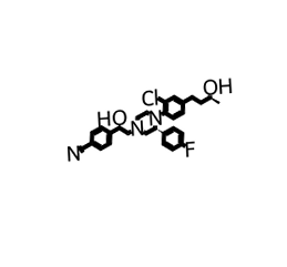 C[C@H](O)CCc1ccc(N2CCN(C[C@@H](O)c3ccc(C#N)cc3)C[C@H]2c2ccc(F)cc2)c(Cl)c1